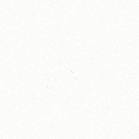 CO[C@H]1c2c(C(F)(F)F)nn(-c3cc(F)c(F)c(F)c3)c2CC1(F)F